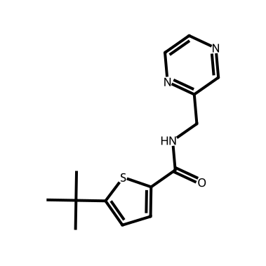 CC(C)(C)c1ccc(C(=O)NCc2cnccn2)s1